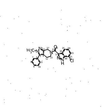 Cn1nc2c(c1-c1ccccc1)CCN(C(=O)c1n[nH]c3c(Cl)cccc13)C2